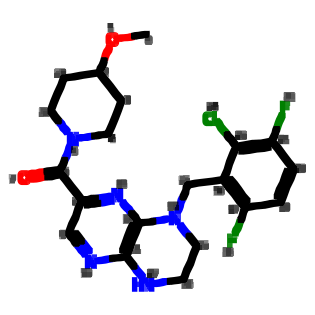 COC1CCN(C(=O)c2cnc3c(n2)N(Cc2c(F)ccc(F)c2Cl)CCN3)CC1